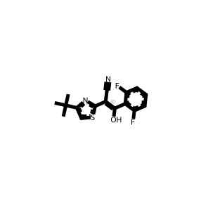 CC(C)(C)c1csc(/C(C#N)=C(\O)c2c(F)cccc2F)n1